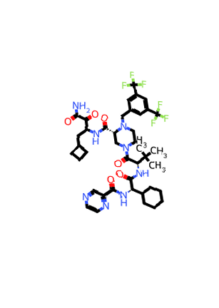 CC(C)(C)[C@H](NC(=O)[C@@H](NC(=O)c1cnccn1)C1CCCCC1)C(=O)N1CCN(Cc2cc(C(F)(F)F)cc(C(F)(F)F)c2)[C@@H](C(=O)NC(CC2CCC2)C(=O)C(N)=O)C1